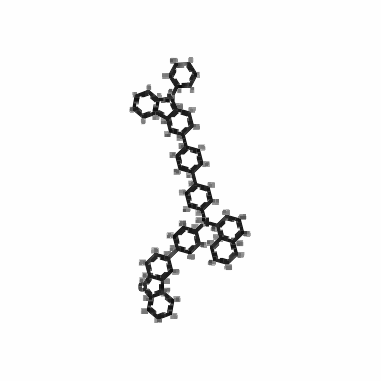 c1ccc(-n2c3ccccc3c3cc(-c4ccc(-c5ccc(N(c6ccc(-c7ccc8oc9ccccc9c8c7)cc6)c6cccc7ccccc67)cc5)cc4)ccc32)cc1